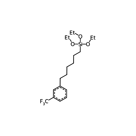 CCO[Si](CCCCCCc1cccc(C(F)(F)F)c1)(OCC)OCC